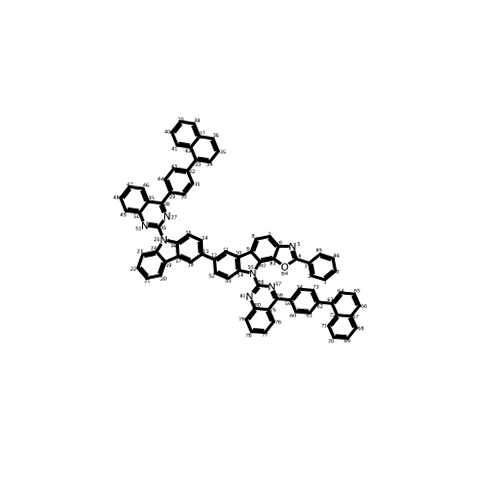 c1ccc(-c2nc3ccc4c5cc(-c6ccc7c(c6)c6ccccc6n7-c6nc(-c7ccc(-c8cccc9ccccc89)cc7)c7ccccc7n6)ccc5n(-c5nc(-c6ccc(-c7cccc8ccccc78)cc6)c6ccccc6n5)c4c3o2)cc1